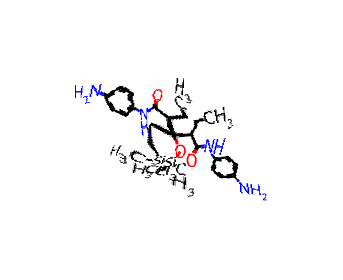 CCC(C(=O)Nc1ccc(N)cc1)C1(C(CC)C(=O)Nc2ccc(N)cc2)CC[Si](C)(C)[Si](C)(C)O1